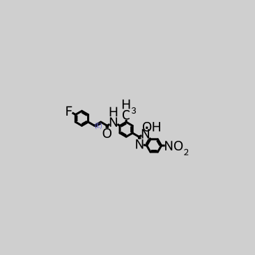 Cc1cc(-c2nc3ccc([N+](=O)[O-])cc3n2O)ccc1NC(=O)/C=C/c1ccc(F)cc1